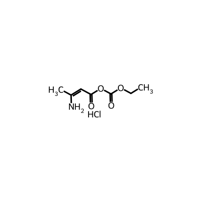 CCOC(=O)OC(=O)C=C(C)N.Cl